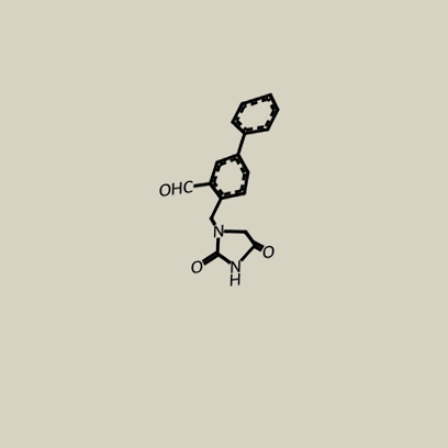 O=Cc1cc(-c2ccccc2)ccc1CN1CC(=O)NC1=O